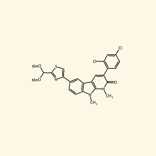 COC(OC)c1nc(-c2ccc3c(c2)c2cc(-c4ccc(Cl)cc4Cl)c(=O)n(C)c2n3C)cs1